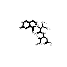 CC(C)[C@@H](C(=O)NC(CC(=O)O)C(=O)CF)n1ccc2ccc(Cl)cc2c1=O